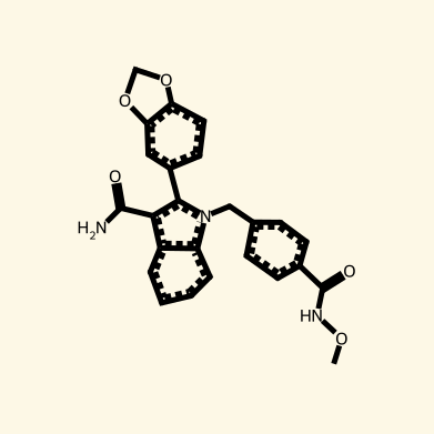 CONC(=O)c1ccc(Cn2c(-c3ccc4c(c3)OCO4)c(C(N)=O)c3ccccc32)cc1